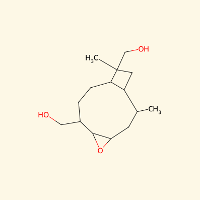 CC1CC2OC2C(CO)CCC2C1CC2(C)CO